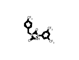 O=c1[nH]n(-c2cc(C(F)(F)F)cc(C(F)(F)F)c2)c(=O)n1Cc1ccc(C(F)(F)F)cc1